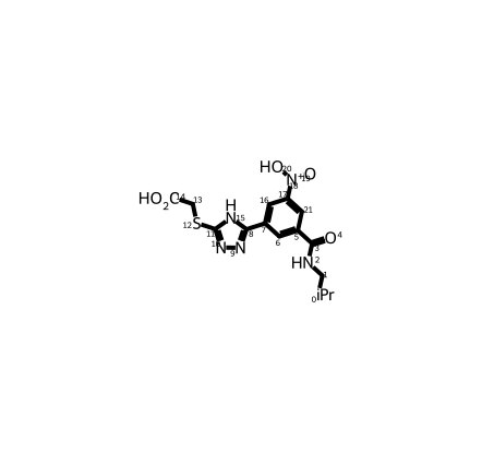 CC(C)CNC(=O)c1cc(-c2nnc(SCC(=O)O)[nH]2)cc([N+](=O)O)c1